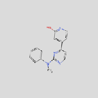 CN(c1ccccc1)c1nccc(-c2ccnc(O)c2)n1